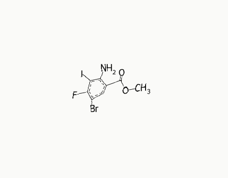 COC(=O)c1cc(Br)c(F)c(I)c1N